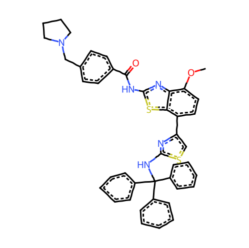 COc1ccc(-c2csc(NC(c3ccccc3)(c3ccccc3)c3ccccc3)n2)c2sc(NC(=O)c3ccc(CN4CCCC4)cc3)nc12